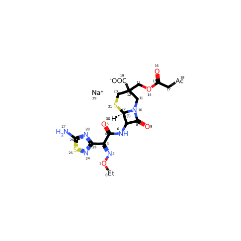 CCON=C(C(=O)NC1C(=O)N2CC(COC(=O)CC(C)=O)(C(=O)[O-])CS[C@H]12)c1nsc(N)n1.[Na+]